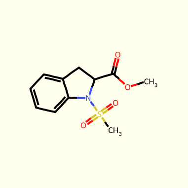 COC(=O)C1Cc2ccccc2N1S(C)(=O)=O